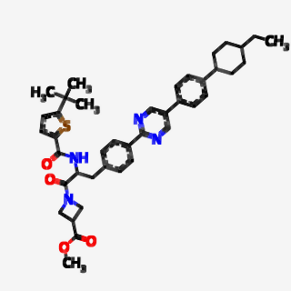 CCC1CCC(c2ccc(-c3cnc(-c4ccc(CC(NC(=O)c5ccc(C(C)(C)C)s5)C(=O)N5CC(C(=O)OC)C5)cc4)nc3)cc2)CC1